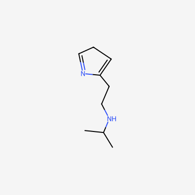 CC(C)NCCC1=CCC=N1